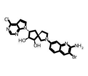 Nc1nc2cc(N3CC[C@@]4(C[C@@H](n5ccc6c(Cl)ncnc65)[C@H](O)[C@@H]4O)C3)ccc2cc1Br